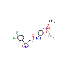 CCOP(=O)(Cc1ccc(NC(=O)CCc2cnoc2-c2ccc(F)c(F)c2)cc1)OCC